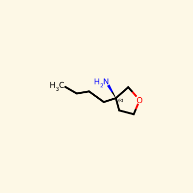 CCCC[C@@]1(N)CCOC1